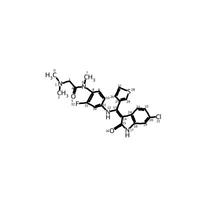 CN(C)CC(=O)N(C)c1ccc(N/C(=C2\C(=O)Nc3cc(Cl)ccc32)c2ccsc2)cc1F